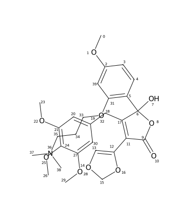 COc1ccc(C2(O)OC(=O)C(C3=COCO3)=C2Cc2cc(OC)c(OC)c(OC)c2)c(OCCCN(C)C)c1